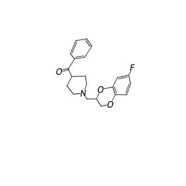 O=C(c1ccccc1)C1CCN(CC2COc3ccc(F)cc3O2)CC1